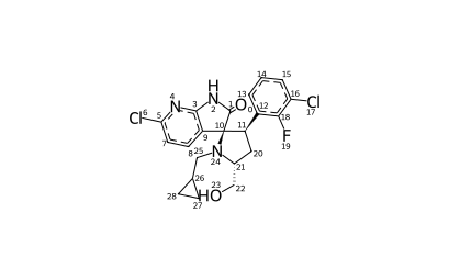 O=C1Nc2nc(Cl)ccc2[C@@]12[C@@H](c1cccc(Cl)c1F)C[C@H](CO)N2CC1CC1